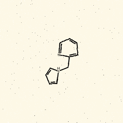 C1=C[SH](Cc2ccccn2)C=C1